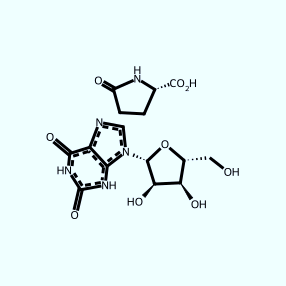 O=C1CC[C@@H](C(=O)O)N1.O=c1[nH]c(=O)c2ncn([C@@H]3O[C@H](CO)[C@@H](O)[C@H]3O)c2[nH]1